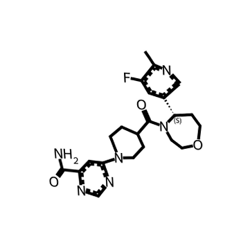 Cc1ncc([C@@H]2CCOCCN2C(=O)C2CCN(c3cc(C(N)=O)ncn3)CC2)cc1F